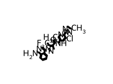 Cc1cnn(-c2nc(C)c(NC(=O)c3cnn(-c4cnc(N)c5ccccc45)c3C(F)(F)F)cc2Cl)n1